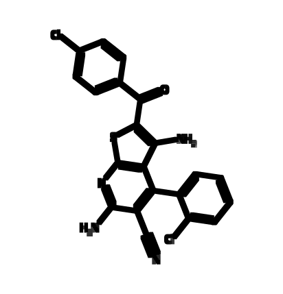 N#Cc1c(N)nc2sc(C(=O)c3ccc(Cl)cc3)c(N)c2c1-c1ccccc1Cl